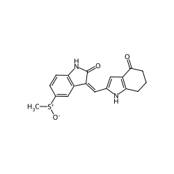 C[S+]([O-])c1ccc2c(c1)/C(=C/c1cc3c([nH]1)CCCC3=O)C(=O)N2